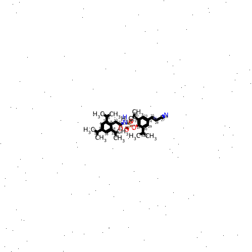 CC(C)c1cc(C(C)C)c(CC(=O)NS(=O)(=O)Oc2c(C(C)C)cc(/C=C/C#N)cc2C(C)C)c(C(C)C)c1